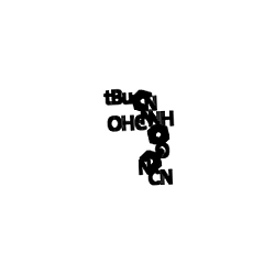 CC(C)(C)c1ccnc(N(C=O)Nc2ccc(Oc3ccnc(C#N)c3)cc2)c1